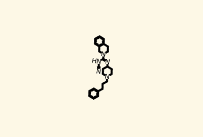 N#CN/C(=N\C1CCN(CCCc2ccccc2)CC1)N1CCc2ccccc2C1